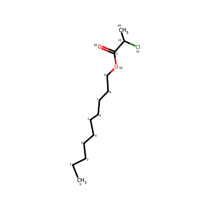 CCCCCCCCCCOC(=O)C(C)Cl